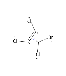 Cl/C=C\Cl.ClCBr